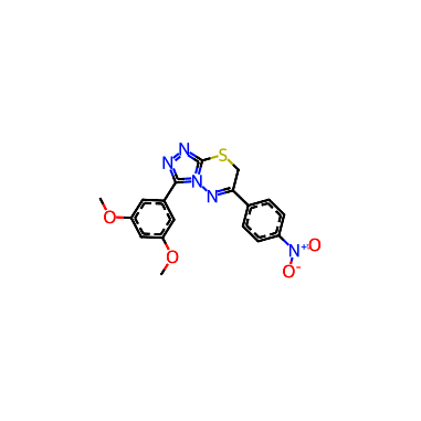 COc1cc(OC)cc(-c2nnc3n2N=C(c2ccc([N+](=O)[O-])cc2)CS3)c1